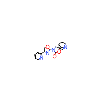 O=C1O[C@]2(CN3CCC2CC3)CN1c1nc(-c2ccccn2)co1